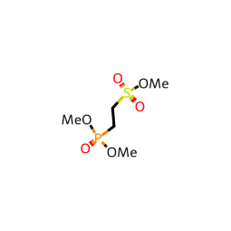 COP(=O)(CCS(=O)(=O)OC)OC